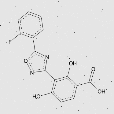 O=C(O)c1ccc(O)c(-c2noc(-c3ccccc3F)n2)c1O